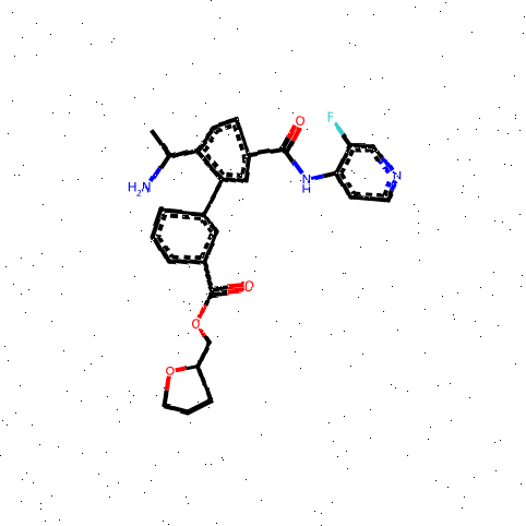 CC(N)c1ccc(C(=O)Nc2ccncc2F)cc1-c1cccc(C(=O)OCC2CCCO2)c1